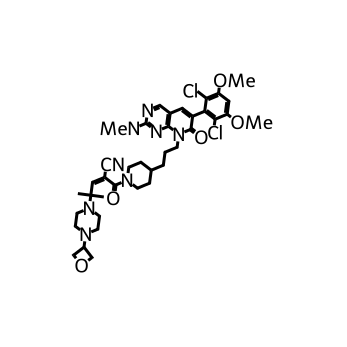 CNc1ncc2cc(-c3c(Cl)c(OC)cc(OC)c3Cl)c(=O)n(CCCC3CCN(C(=O)/C(C#N)=C\C(C)(C)N4CCN(C5COC5)CC4)CC3)c2n1